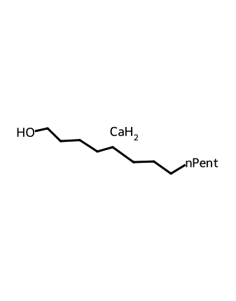 CCCCCCCCCCCCCO.[CaH2]